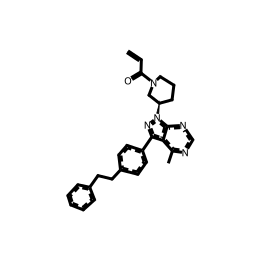 C=CC(=O)N1CCC[C@@H](n2nc(-c3ccc(CCc4ccccc4)cc3)c3c(C)ncnc32)C1